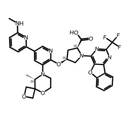 CNc1cccc(-c2cnc(O[C@H]3C[C@@H](C(=O)O)N(c4nc(C(F)(F)F)nc5c4oc4ccccc45)C3)c(N3CCOC4(COC4)[C@@H]3C)c2)n1